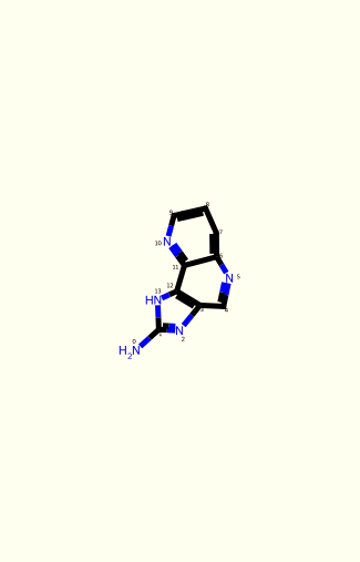 Nc1nc2cnc3cccnc3c2[nH]1